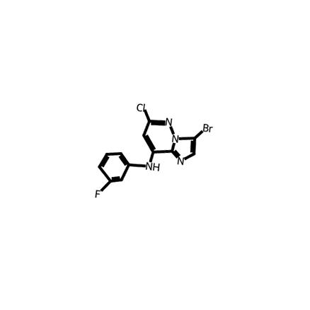 Fc1cccc(Nc2cc(Cl)nn3c(Br)cnc23)c1